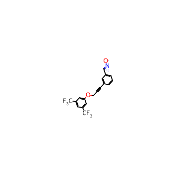 [O]/N=C/c1cccc(C#CCOc2cc(C(F)(F)F)cc(C(F)(F)F)c2)c1